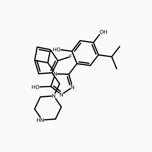 CC(C)c1cc(-c2nnc(O)n2C2c3cc(CN4CCNCC4)c(F)c2c3)c(O)cc1O